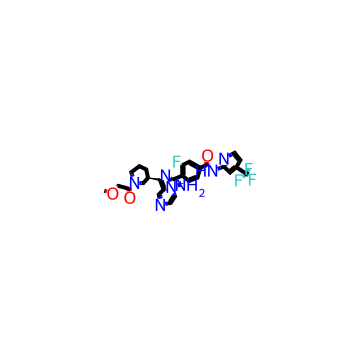 COCC(=O)N1CCC[C@@H](C2=C3C=NC=C[N+]3(N)C(c3ccc(C(=O)Nc4cc(C(F)(F)F)ccn4)cc3F)=N2)C1